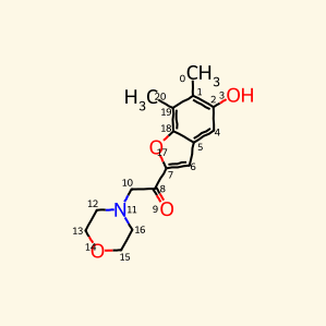 Cc1c(O)cc2cc(C(=O)CN3CCOCC3)oc2c1C